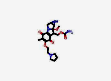 COC12C(COC(N)=O)C3=C(C(=O)C(C)=C(OCCN4CCCC4)C3=O)N1CC1NC12